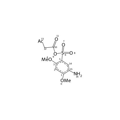 COc1cc(OC)c(S(=O)(=O)OC(=O)CC(C)=O)cc1N